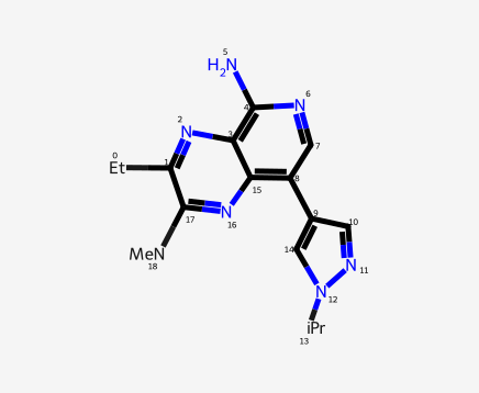 CCc1nc2c(N)ncc(-c3cnn(C(C)C)c3)c2nc1NC